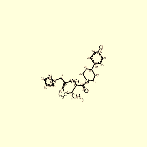 CC(C)C(NC(=O)Cn1cccn1)C(=O)N1CCC(c2ccc(Cl)cc2)CC1